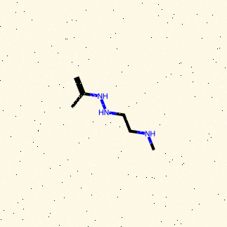 C=C(C)NNCCNC